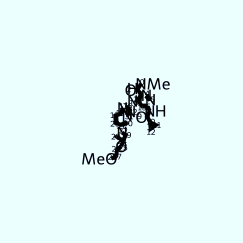 CNC(=O)c1nnc(NC(=O)C2CC2)cc1Nc1nc2ccc(N3CC(OCCOC)C3)cn2n1